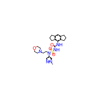 Cn1cc(N(CCN2CCOCC2)S(=O)(=O)NC(=O)Nc2c3c(cc4c2CCC4)CCC3)cn1